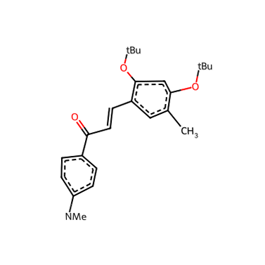 CNc1ccc(C(=O)C=Cc2cc(C)c(OC(C)(C)C)cc2OC(C)(C)C)cc1